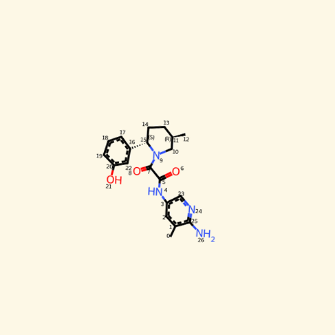 Cc1cc(NC(=O)C(=O)N2C[C@H](C)CC[C@H]2c2cccc(O)c2)cnc1N